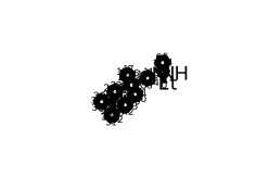 CCC1Nc2ccccc2N1c1ccc(-c2c3ccccc3c(-c3cccc([Si](c4ccccc4)(c4ccccc4)c4ccccc4)c3)c3ccccc23)cc1